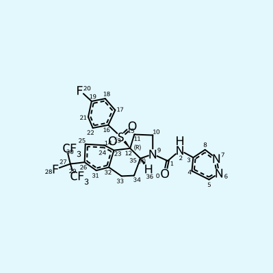 O=C(Nc1ccnnc1)N1CC[C@@]2(S(=O)(=O)c3ccc(F)cc3)c3ccc(C(F)(C(F)(F)F)C(F)(F)F)cc3CC[C@@H]12